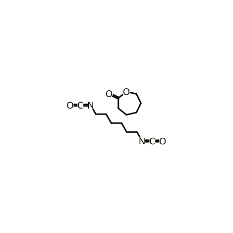 O=C1CCCCCO1.O=C=NCCCCCCN=C=O